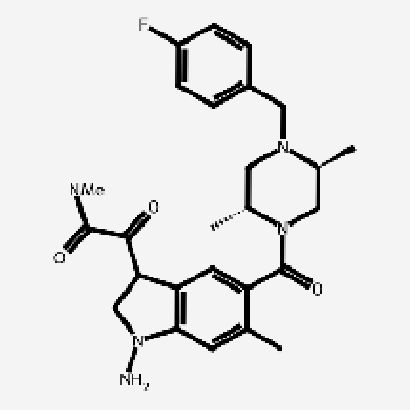 CNC(=O)C(=O)C1CN(N)c2cc(C)c(C(=O)N3C[C@H](C)N(Cc4ccc(F)cc4)C[C@H]3C)cc21